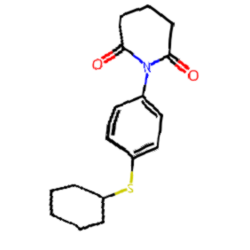 O=C1CCCC(=O)N1c1ccc(SC2CCCCC2)cc1